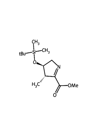 COC(=O)C1=NC[C@H](O[Si](C)(C)C(C)(C)C)[C@H]1C